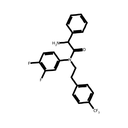 NC(C(=O)N(CCc1ccc(C(F)(F)F)cc1)c1ccc(F)c(F)c1)c1ccccc1